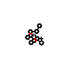 CC1(C)c2cc(N(c3ccc(-c4ccccc4)cc3-c3ccccc3)c3ccc4ccccc4c3-c3cccc4ccccc34)ccc2C2C=CC=CC21